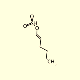 CCCCC=CO[SH](=O)=O